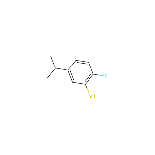 CC(C)c1ccc(F)c(S)c1